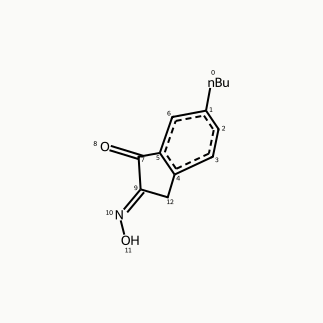 CCCCc1ccc2c(c1)C(=O)/C(=N/O)C2